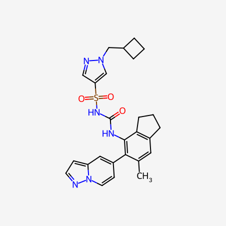 Cc1cc2c(c(NC(=O)NS(=O)(=O)c3cnn(CC4CCC4)c3)c1-c1ccn3nccc3c1)CCC2